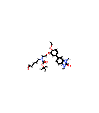 CCOc1ccc(-c2ccc3c(c2)n(C)c(=O)n3C)cc1OCCN(CCCCC=O)C(=O)OC(C)(C)C